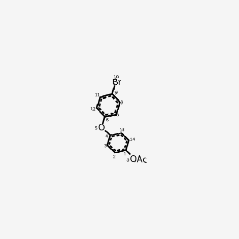 CC(=O)Oc1ccc(Oc2ccc(Br)cc2)cc1